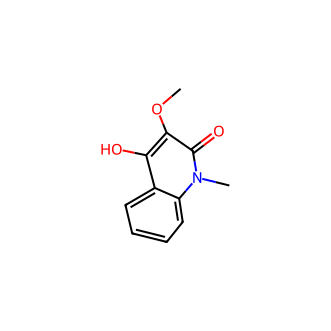 COc1c(O)c2ccccc2n(C)c1=O